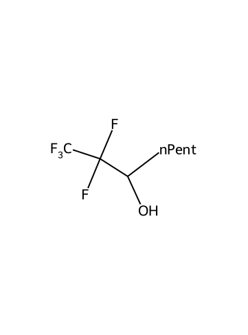 CCCCCC(O)C(F)(F)C(F)(F)F